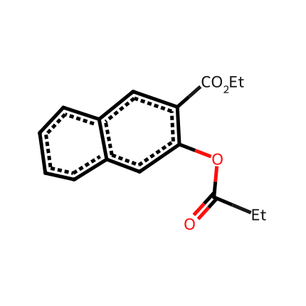 CCOC(=O)c1cc2ccccc2cc1OC(=O)CC